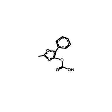 Cc1nc(OC(=O)O)c(-c2ccccc2)o1